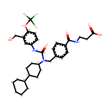 O=C(O)CCNC(=O)c1ccc(CN(C(=O)Nc2ccc(OC(F)(F)F)c(CO)c2)C2CCC(C3CCCCC3)CC2)cc1